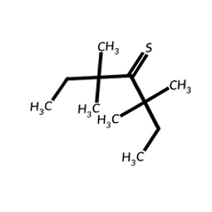 CCC(C)(C)C(=S)C(C)(C)CC